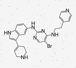 Brc1cnc(Nc2ccc3[nH]cc(C4=CCNCC4)c3c2)nc1NCCc1ccncc1